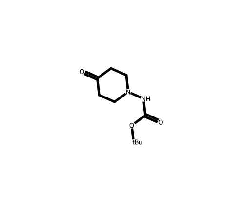 CC(C)(C)OC(=O)NN1CCC(=O)CC1